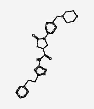 O=C(Nc1nnc(CCc2ccccc2)s1)C1CC(=O)N(c2ccc(CN3CCOCC3)cc2)C1